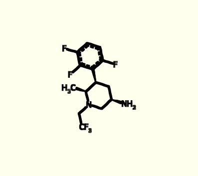 C[C@H]1[C@@H](c2c(F)ccc(F)c2F)C[C@@H](N)CN1CC(F)(F)F